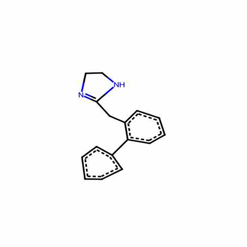 c1ccc(-c2ccccc2CC2=NCCN2)cc1